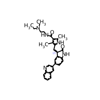 CCN(CC)CCNC(=O)c1c(C)[nH]c(/C=C2\C(=O)Nc3ccc(-c4cnc5ccccc5c4)cc32)c1C